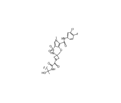 Cn1cc2c(c1C(=O)Nc1ccc(F)c(Cl)c1)OCC1(CN(C(=O)C(=O)NC(C)(O)C(F)(F)F)C1)NS2(=O)=O